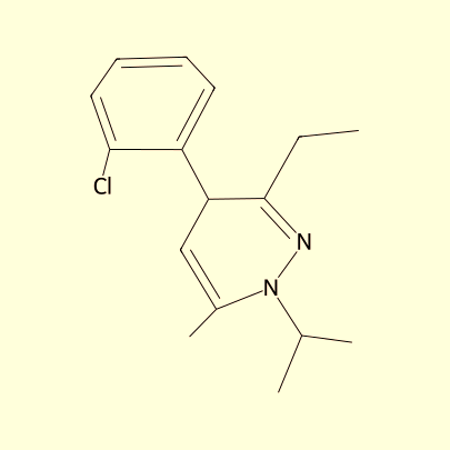 CCC1=NN(C(C)C)C(C)=CC1c1ccccc1Cl